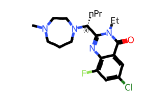 CCC[C@H](c1nc2c(F)cc(Cl)cc2c(=O)n1CC)N1CCCN(C)CC1